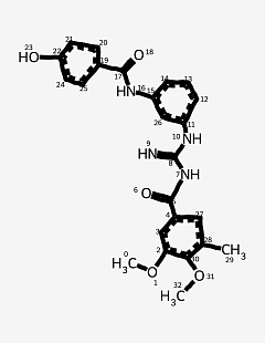 COc1cc(C(=O)NC(=N)Nc2cccc(NC(=O)c3ccc(O)cc3)c2)cc(C)c1OC